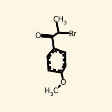 COc1ccc(C(=O)C(C)Br)cc1